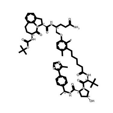 Cc1ccc(OC[C@H](CCC(N)=O)NC(=O)[C@@H]2Cc3cccc4c3N2C(=O)[C@@H](NC(=O)OC(C)(C)C)CC4)c(F)c1CCCCCC(=O)N[C@H](C(=O)N1C[C@H](O)C[C@H]1C(=O)N[C@@H](C)c1ccc(-c2scnc2C)cc1)C(C)(C)C